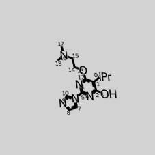 CC(C)c1c(O)nc(-n2ccnc2)nc1OCCN(C)C